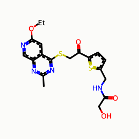 CCOc1cc2c(SCC(=O)c3ccc(CNC(=O)CO)s3)nc(C)nc2cn1